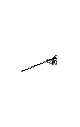 CCCCCCCCCCCCCCCCCCOCC(COCl)OC(=O)NC